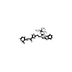 CC(C)(C)OC(=O)N(CCc1nc(C(=O)NCc2cccnc2F)cs1)Cc1nc2ccccc2[nH]1